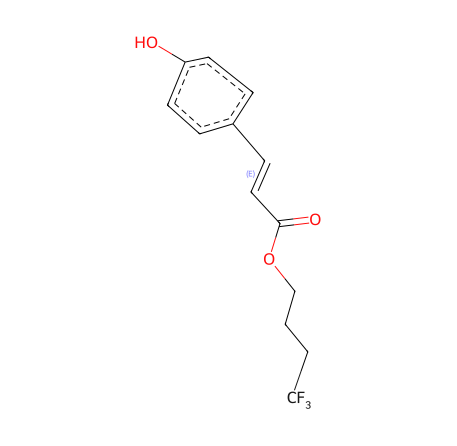 O=C(/C=C/c1ccc(O)cc1)OCCCC(F)(F)F